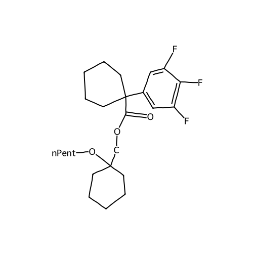 CCCCCOC1(COC(=O)C2(c3cc(F)c(F)c(F)c3)CCCCC2)CCCCC1